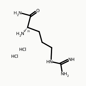 Cl.Cl.N=C(N)NCCC[C@H](N)C(N)=O